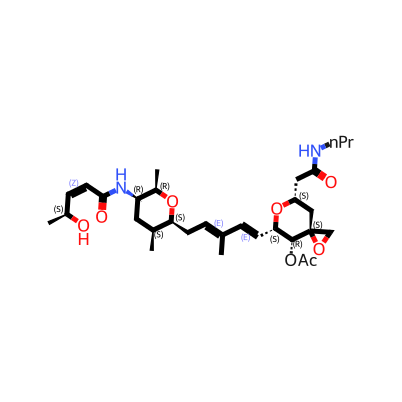 CCCNC(=O)C[C@@H]1C[C@]2(CO2)[C@H](OC(C)=O)[C@H](/C=C/C(C)=C/C[C@@H]2O[C@H](C)[C@H](NC(=O)/C=C\[C@H](C)O)C[C@@H]2C)O1